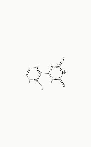 O=c1nc(-c2ncccc2Cl)[nH]c(=O)[nH]1